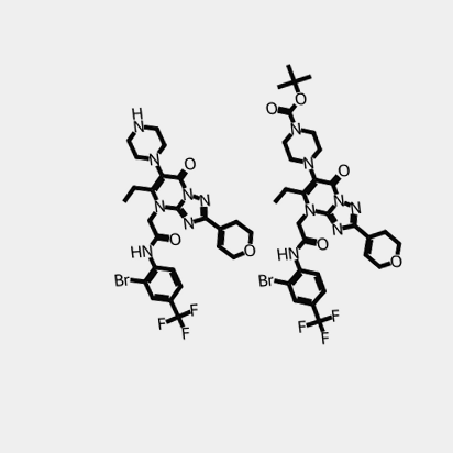 CCc1c(N2CCN(C(=O)OC(C)(C)C)CC2)c(=O)n2nc(C3=CCOCC3)nc2n1CC(=O)Nc1ccc(C(F)(F)F)cc1Br.CCc1c(N2CCNCC2)c(=O)n2nc(C3=CCOCC3)nc2n1CC(=O)Nc1ccc(C(F)(F)F)cc1Br